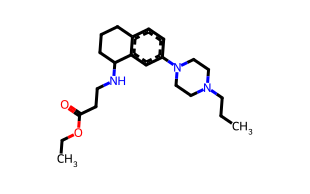 CCCN1CCN(c2ccc3c(c2)C(NCCC(=O)OCC)CCC3)CC1